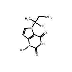 CCCn1c(=O)[nH]c(=O)c2c1ncn2C(C)(C)C[AsH2]